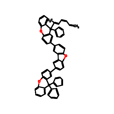 C=C/C=C\C=C(/C)[Si]1(c2ccccc2)c2ccccc2Oc2ccc(-c3ccc4oc5ccc(-c6ccc7c(c6)[Si](c6ccccc6)(c6ccccc6)c6ccccc6O7)cc5c4c3)cc21